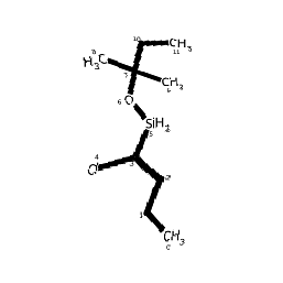 CCCC(Cl)[SiH2]OC(C)(C)CC